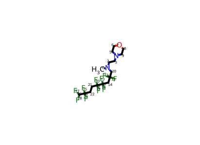 CN(CCN1CCOCC1)CC(F)(F)CC(F)(F)C(F)(F)CCC(F)(F)C(F)F